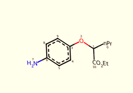 CCCC(Oc1ccc(N)cc1)C(=O)OCC